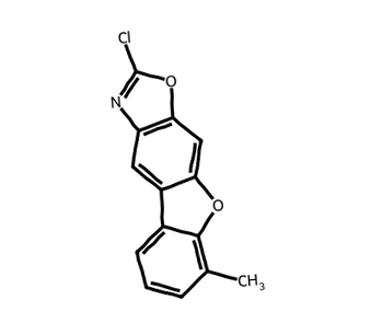 Cc1cccc2c1oc1cc3oc(Cl)nc3cc12